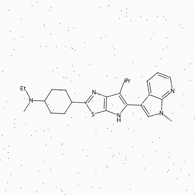 CCN(C)C1CCC(c2nc3c(C(C)C)c(-c4cn(C)c5ncccc45)[nH]c3s2)CC1